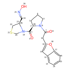 O=C([C@H]1CCCN1C(=O)Cc1cc2ccccc2o1)N1CSC[C@H]1C=NO